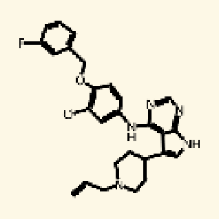 C=CCN1CCC(c2c[nH]c3ncnc(Nc4ccc(OCc5cccc(F)c5)c(Cl)c4)c23)CC1